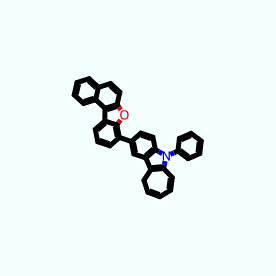 C1=CCc2c(n(-c3ccccc3)c3ccc(-c4cccc5c4oc4ccc6ccccc6c45)cc23)C=C1